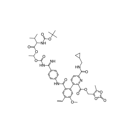 C=Cc1cc(C(=O)Nc2ccc(C(=N)NC(=O)OC(C)OC(=O)C(NC(=O)OC(C)(C)C)C(C)C)cc2)c(-c2ccc(C(=O)NCC3CC3)nc2C(=O)OCc2oc(=O)oc2C)cc1OC